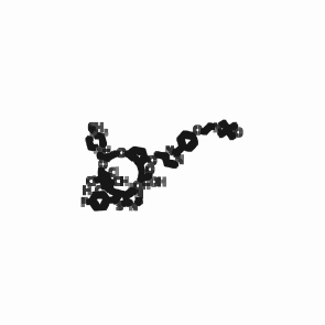 Cc1c(Cl)c2c(Cl)c(C)c1-c1c(-c3ccc(F)cc3)sc3ncnc(c13)O[C@@H](C(=O)O)Cc1cc(ccc1OCc1ccnc(-c3ccc(OCCN4CC5(COC5)C4)cc3)n1)OC[C@@H](CN1CCN(C)CC1)O2